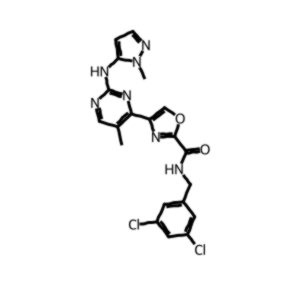 Cc1cnc(Nc2ccnn2C)nc1-c1coc(C(=O)NCc2cc(Cl)cc(Cl)c2)n1